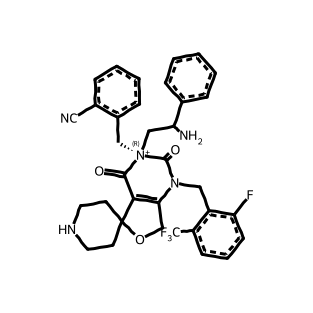 N#Cc1ccccc1C[N@@+]1(CC(N)c2ccccc2)C(=O)C2=C(COC23CCNCC3)N(Cc2c(F)cccc2C(F)(F)F)C1=O